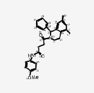 COc1ccc(NC(=O)CCC(=O)N2CCc3c(C)cc(C)cc3C2c2ccccc2)cc1